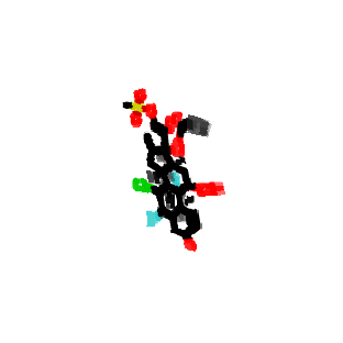 CCC(=O)O[C@]1(C(=O)COS(C)(=O)=O)C(C)C[C@H]2[C@@H]3C(Cl)C(F)C4=CC(=O)C=C[C@]4(C)[C@@]3(F)C(O)C[C@@]21C